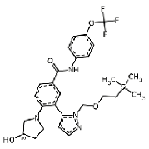 C[Si](C)(C)CCOCn1nccc1-c1cc(C(=O)Nc2ccc(OC(F)(F)F)cc2)ccc1N1CC[C@@H](O)C1